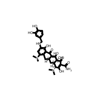 CN(C)c1cc(NCc2ccc(O)c(O)c2)c(O)c2c1C[C@@H]1C[C@@H]3[C@@H](N(C)C)C(O)=C(C(N)=O)C(=O)[C@]3(O)C(O)=C1C2=O